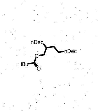 CCCCCCCCCCCCC(CCCCCCCCCC)COC(=O)C(C)CC